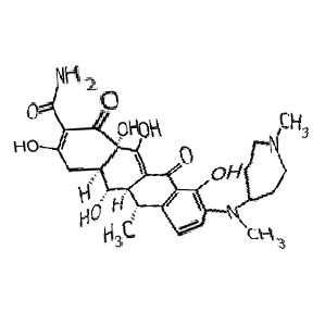 C[C@H]1c2ccc(N(C)C3CCN(C)CC3)c(O)c2C(=O)C2=C(O)[C@]3(O)C(=O)C(C(N)=O)=C(O)C[C@@H]3[C@@H](O)[C@@H]21